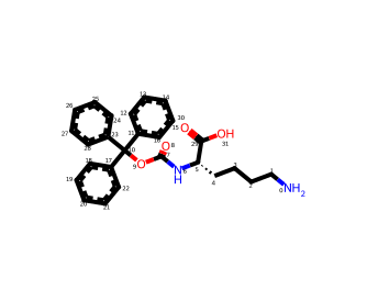 NCCCC[C@H](NC(=O)OC(c1ccccc1)(c1ccccc1)c1ccccc1)C(=O)O